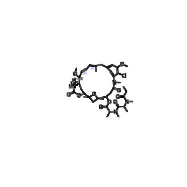 CCC(=O)N(C)C(C)C(=O)N(C)C(C)C(=O)OC1CC(=O)N(C)c2cc(cc(OC)c2Cl)C/C(C)=C/C=C/[C@H](OC)C2(O)CC(OC(=O)N2)C2(C)CC1(C)O2